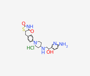 Cl.Nc1ccc([C@@H](O)CNC2CCN(c3ccc(CC4SC(=O)NC4=O)cc3)CC2)cn1